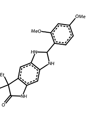 CCC1(CC)C(=O)Nc2cc3c(cc21)NC(c1ccc(OC)cc1OC)N3